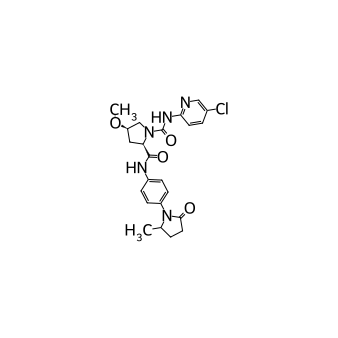 CO[C@@H]1C[C@H](C(=O)Nc2ccc(N3C(=O)CCC3C)cc2)N(C(=O)Nc2ccc(Cl)cn2)C1